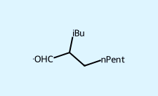 CCCCCCC([C]=O)C(C)CC